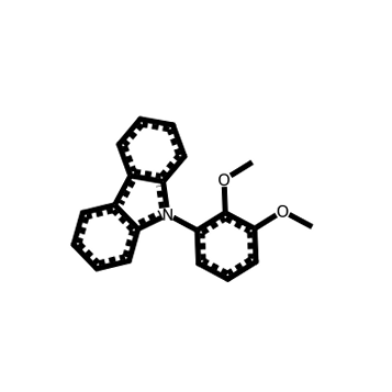 COc1cccc(-n2c3ccccc3c3ccccc32)c1OC